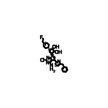 Nc1nc(Cl)nc2c1c(-c1nc(Cc3ccccc3)cs1)cn2[C@@H]1C[C@H](C2CCN(CCF)CC2)[C@@H](O)[C@H]1O